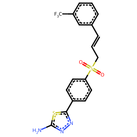 Nc1nnc(-c2ccc(S(=O)(=O)CC=Cc3cccc(C(F)(F)F)c3)cc2)s1